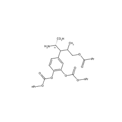 CCCOC(=O)Oc1ccc(C(C(C)COC(=O)C(C)C)[C@H](N)C(=O)O)cc1OC(=O)OCCC